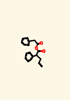 C=CCC(C(=O)OC(=O)Cc1ccccc1)c1ccccc1